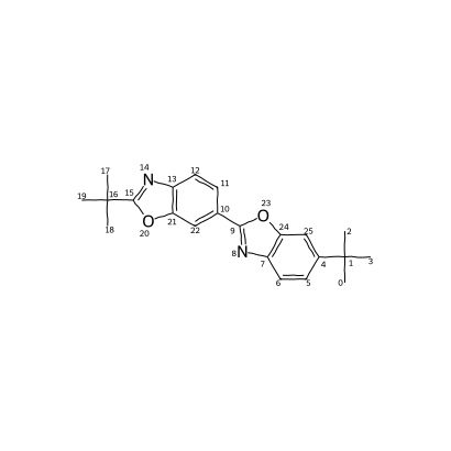 CC(C)(C)c1ccc2nc(-c3ccc4nc(C(C)(C)C)oc4c3)oc2c1